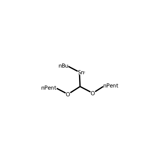 CCCCCO[CH](OCCCCC)[Sn][CH2]CCC